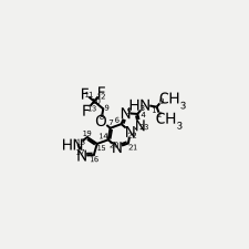 CC(C)Nc1nc2c(OCC(F)(F)F)c(-c3cn[nH]c3)ncn2n1